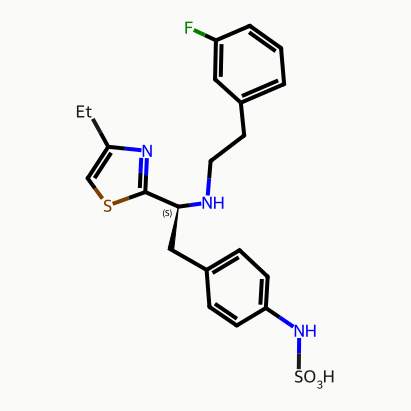 CCc1csc([C@H](Cc2ccc(NS(=O)(=O)O)cc2)NCCc2cccc(F)c2)n1